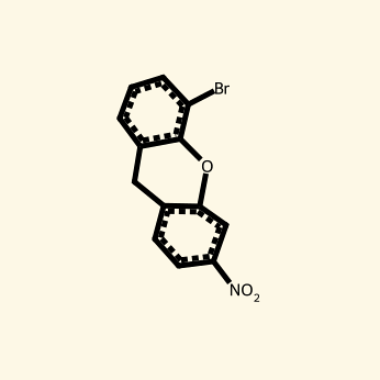 O=[N+]([O-])c1ccc2c(c1)Oc1c(Br)cccc1C2